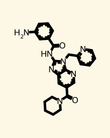 Nc1cccc(C(=O)Nc2nc3cc(C(=O)N4CCCCC4)cnc3n2Cc2ccccn2)c1